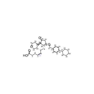 O=C(O)CC/C=C\CC[C@H]1[C@@H](OCc2ccc(C3CCCCC3)cc2)CC(=O)[C@@H]1N1CCOCC1